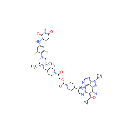 C[C@@H]1CN(c2c(F)cc(NC3CCC(=O)NC3=O)cc2F)C[C@H](C)N1CC1CCN(C(=O)COC(=O)N2CCC(c3cnc(-c4c(-c5nn(C67CC(C6)C7)c6ncnc(N)c56)noc4C4CC4)nc3)CC2)CC1